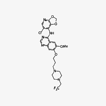 COc1cc2c(Nc3c(Cl)cnc4c3OCO4)ncnc2cc1OCCCN1CCN(CC(F)(F)F)CC1